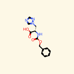 O=C(N[C@@H](Cn1cncn1)C(=O)O)OCc1ccccc1